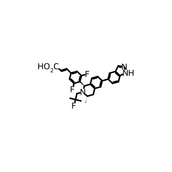 C[C@H]1Cc2cc(-c3ccc4[nH]ncc4c3)ccc2[C@H](c2c(F)cc(/C=C/C(=O)O)cc2F)N1CC(C)(C)F